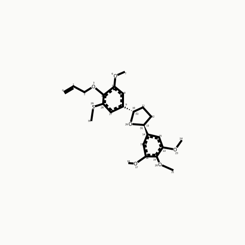 C=CCOc1c(OC)cc([C@@H]2CC[C@@H](c3cc(OC)c(OC)c(OC)c3)O2)cc1SC